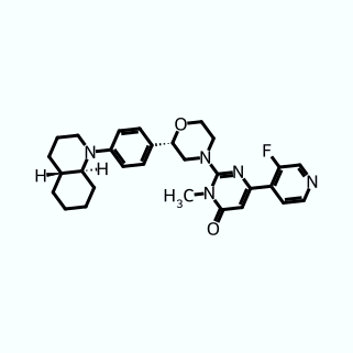 Cn1c(N2CCO[C@@H](c3ccc(N4CCC[C@H]5CCCC[C@@H]54)cc3)C2)nc(-c2ccncc2F)cc1=O